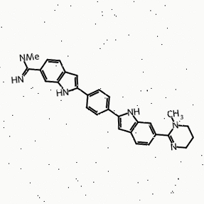 CNC(=N)c1ccc2cc(-c3ccc(-c4cc5ccc(C6=NCCCN6C)cc5[nH]4)cc3)[nH]c2c1